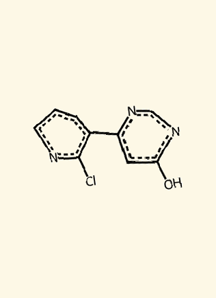 Oc1cc(-c2cccnc2Cl)ncn1